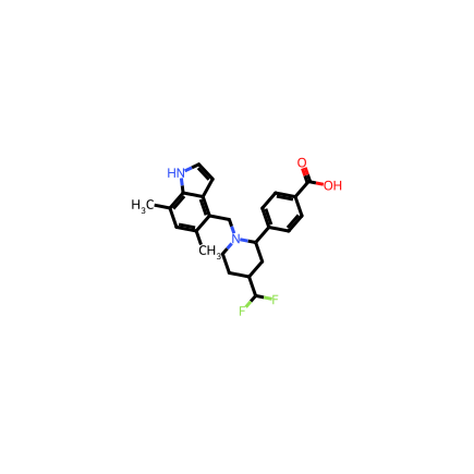 Cc1cc(C)c2[nH]ccc2c1CN1CCC(C(F)F)CC1c1ccc(C(=O)O)cc1